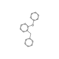 [c]1ccccc1Oc1[c]cccc1Cc1ccccc1